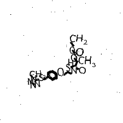 C=CCOC(=O)O[C@H](C)[C@H]1C(=O)N2CC(COc3ccc(CSc4nnnn4C)cc3)S[C@H]12